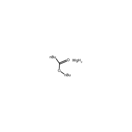 CCCCOC(=O)CCCC.[MgH2]